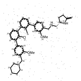 C=C1CC[C@@H](CNCc2ncc(-c3cccc(-c4cccc(-c5cnc(CN6CCCCC6)c(OC)n5)c4Cl)c3C)nc2OC)N1